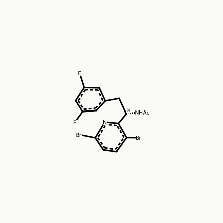 CC(=O)N[C@@H](Cc1cc(F)cc(F)c1)c1nc(Br)ccc1Br